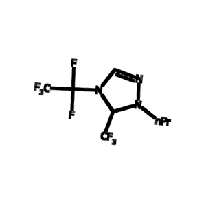 CCCN1N=CN(C(F)(F)C(F)(F)F)C1C(F)(F)F